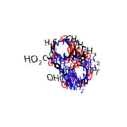 Cc1c2oc3c(C)ccc(C(=O)N[C@@H]4C(=O)N[C@H](C(C)C)C(=O)N5CCC[C@H]5C(=O)N(C)CC(=O)N(C)[C@@H](C(C)C)C(=O)O[C@@H]4C)c3nc-2c(C(=O)N[C@@H]2C(=O)N[C@H](C(C)C)C(=O)N3CCC[C@H]3C(=O)N(C)CC(=O)N(C)[C@@H](C(C)C)C(=O)O[C@@H]2C)c(N)c1=O.Nc1nc(=O)c2c([nH]1)NCC(CNc1ccc(C(=O)N[C@@H](CCC(=O)O)C(=O)O)cc1)N2C=O